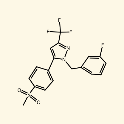 CS(=O)(=O)c1ccc(-c2cc(C(F)(F)F)nn2Cc2cccc(F)c2)cc1